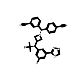 CC(C)(F)[C@H](c1cc(F)cc(-c2nnco2)c1)C1CN([C@@H](c2ccc(C#N)cc2)c2cccc(C#N)c2)C1